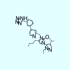 CCCCc1cn(-c2c(C(C)C)cnn2CC)c(=O)n1Cc1cc(-c2cccc(-c3nnn[nH]3)c2)ccn1